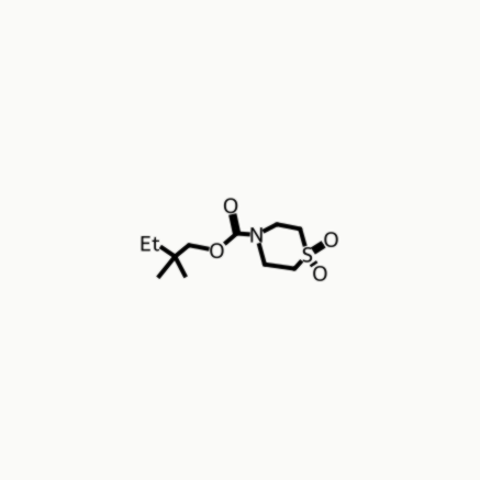 CCC(C)(C)COC(=O)N1CCS(=O)(=O)CC1